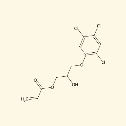 C=CC(=O)OCC(O)COc1cc(Cl)c(Cl)cc1Cl